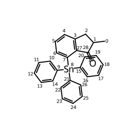 CC1Cc2ccc[c]([Sn]([c]3ccccc3)([c]3ccccc3)[c]3ccccc3)c2C1=O